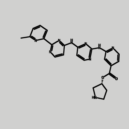 Cc1cccc(-c2nccc(Nc3ccnc(Nc4cc(C(=O)O[C@@H]5CCNC5)ccn4)n3)n2)n1